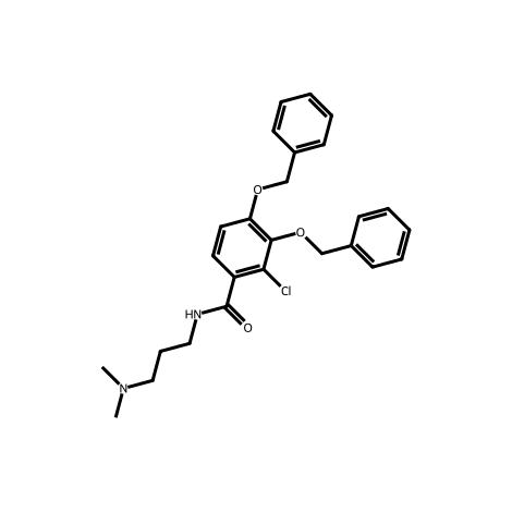 CN(C)CCCNC(=O)c1ccc(OCc2ccccc2)c(OCc2ccccc2)c1Cl